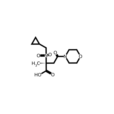 C[C@](CC(=O)N1CCOCC1)(C(=O)O)S(=O)(=O)CC1CC1